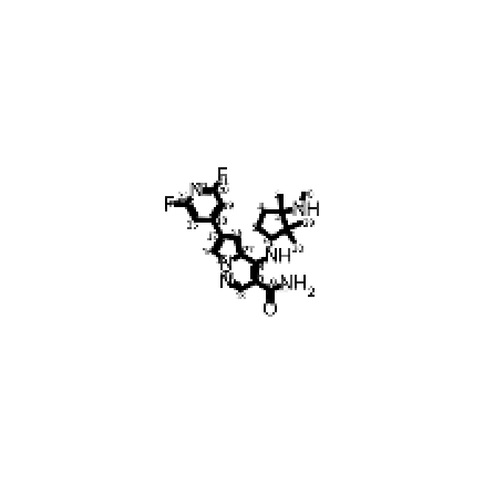 CNC1(C)CC[C@@H](Nc2c(C(N)=O)cnn3cc(-c4cc(F)nc(F)c4)cc23)C1(C)C